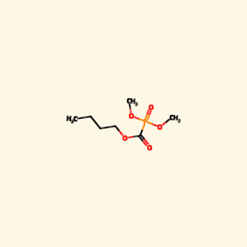 CCCCOC(=O)P(=O)(OC)OC